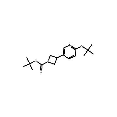 CC(C)(C)OC(=O)N1CC(c2ccc(SC(C)(C)C)nc2)C1